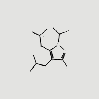 CC(C)Cc1c(O)nn(C(C)C)c1CC(C)C